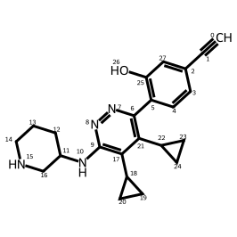 C#Cc1ccc(-c2nnc(NC3CCCNC3)c(C3CC3)c2C2CC2)c(O)c1